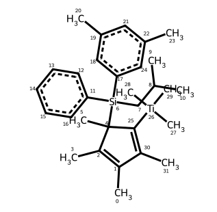 CC1=C(C)C(C)([Si](CC(C)C)(c2ccccc2)c2cc(C)cc(C)c2)[C]([Ti]([CH3])([CH3])[CH3])=C1C